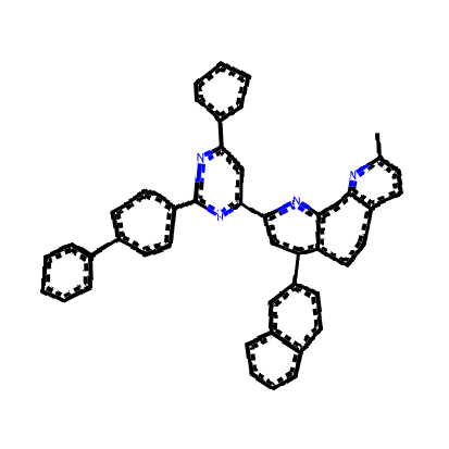 Cc1ccc2ccc3c(-c4ccc5ccccc5c4)cc(-c4cc(-c5ccccc5)nc(-c5ccc(-c6ccccc6)cc5)n4)nc3c2n1